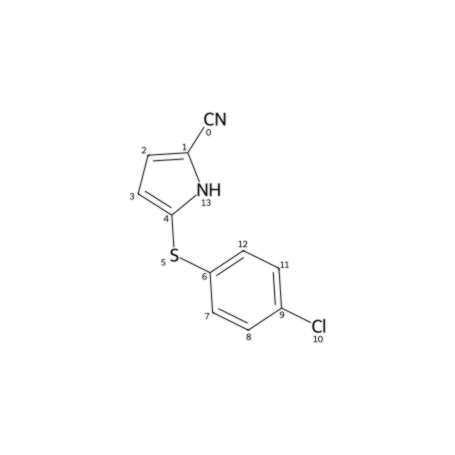 N#Cc1ccc(Sc2ccc(Cl)cc2)[nH]1